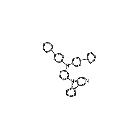 c1ccc(-c2ccc(N(c3ccc(-c4ccccc4)cc3)c3cccc(-n4c5ccccc5c5cnccc54)c3)cc2)cc1